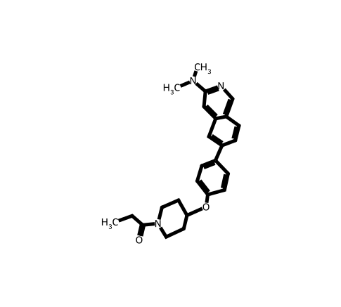 CCC(=O)N1CCC(Oc2ccc(-c3ccc4cnc(N(C)C)cc4c3)cc2)CC1